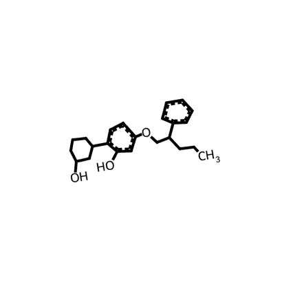 CCCC(COc1ccc(C2CCCC(O)C2)c(O)c1)c1ccccc1